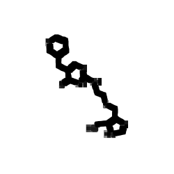 OCc1[nH]cnc1CSCCNc1ncc(Cc2cccnc2)c(=S)[nH]1